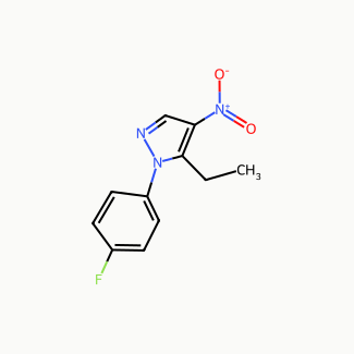 CCc1c([N+](=O)[O-])cnn1-c1ccc(F)cc1